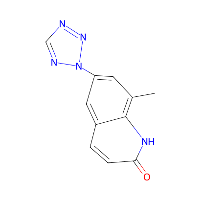 Cc1cc(-n2ncnn2)cc2ccc(=O)[nH]c12